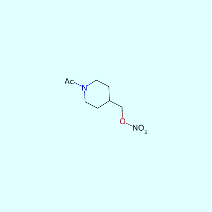 [CH2]C(=O)N1CCC(CO[N+](=O)[O-])CC1